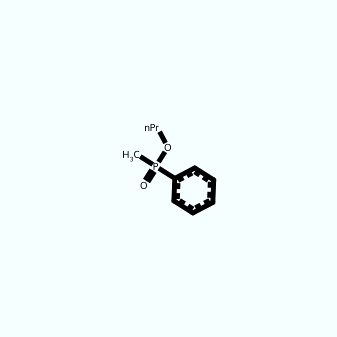 CCCOP(C)(=O)c1ccccc1